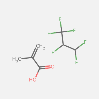 C=C(C)C(=O)O.FC(F)C(F)C(F)(F)F